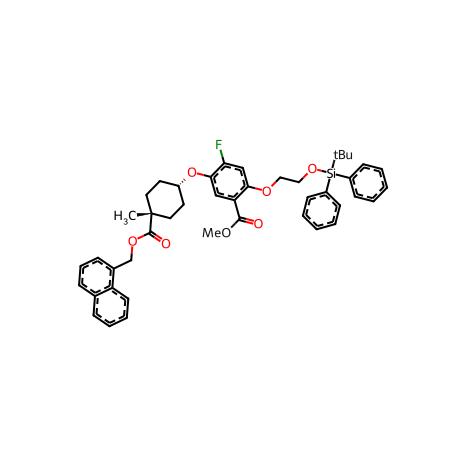 COC(=O)c1cc(O[C@H]2CC[C@@](C)(C(=O)OCc3cccc4ccccc34)CC2)c(F)cc1OCCO[Si](c1ccccc1)(c1ccccc1)C(C)(C)C